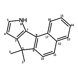 CC1(C)c2cc[nH]c2-c2c1ccc1ccccc21